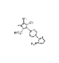 CCOC(=O)c1c(-c2ccc(-c3sccc3N)cc2)c(C#N)c(C(F)(F)F)n1C